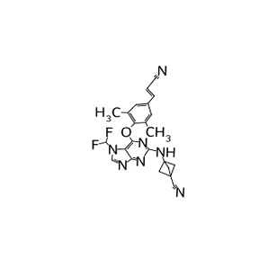 Cc1cc(/C=C/C#N)cc(C)c1Oc1nc(NC23CC(C#N)(C2)C3)nc2ncn(C(F)F)c12